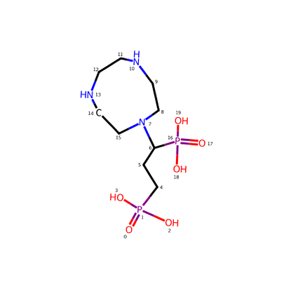 O=P(O)(O)CCC(N1CCNCCNCC1)P(=O)(O)O